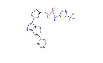 CC(C)(C)c1nnc(NC(=O)NCc2cccc(-c3cnc4cc(-c5ccncc5)ccn34)c2)s1